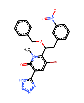 Cn1c(C(Cc2cccc([N+](=O)[O-])c2)OCc2ccccc2)c(Br)cc(-c2nnn[nH]2)c1=O